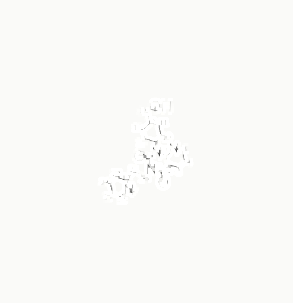 O=c1c2cccnc2n(-c2ccc(CO)cc2)c(=O)n1CCc1ccccn1